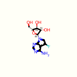 Nc1ncnc2c1c(F)cn2[C@@H]1O[C@H](CO)[C@@H](O)[C@@H]1O